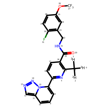 [2H]C([2H])([2H])c1nc(-c2cccc3cnnn23)ccc1C(=O)NCc1cc(OC(F)(F)F)ccc1F